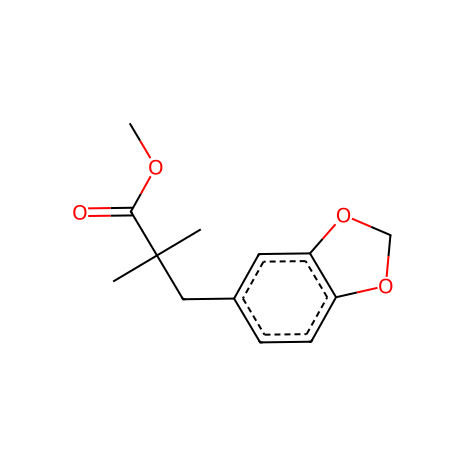 COC(=O)C(C)(C)Cc1ccc2c(c1)OCO2